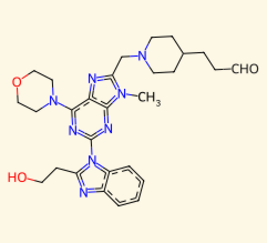 Cn1c(CN2CCC(CCC=O)CC2)nc2c(N3CCOCC3)nc(-n3c(CCO)nc4ccccc43)nc21